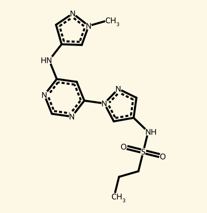 CCCS(=O)(=O)Nc1cnn(-c2cc(Nc3cnn(C)c3)ncn2)c1